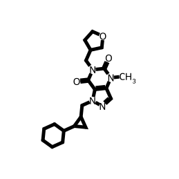 Cn1c(=O)n(CC2CCOC2)c(=O)c2c1cnn2CC1CC1C1CCCCC1